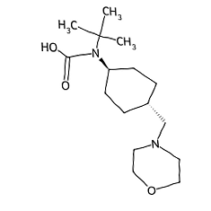 CC(C)(C)N(C(=O)O)[C@H]1CC[C@H](CN2CCOCC2)CC1